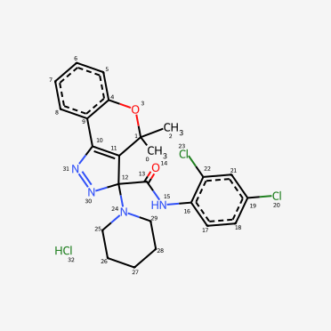 CC1(C)Oc2ccccc2C2=C1C(C(=O)Nc1ccc(Cl)cc1Cl)(N1CCCCC1)N=N2.Cl